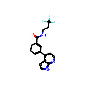 O=C(NCCC(F)(F)F)C1=CC(c2ccnc3[nH]ccc23)=CCC1